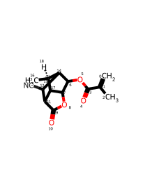 C=C(C)C(=O)OC1C2OC(=O)C3C(C#N)C1[C@H](C)C23